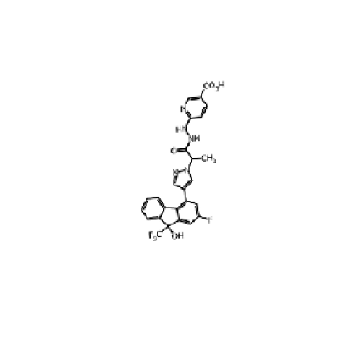 CC(C(=O)NNc1ccc(C(=O)O)cn1)n1cc(-c2cc(F)cc3c2-c2ccccc2C3(O)C(F)(F)F)cn1